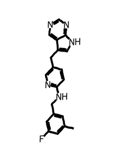 Cc1cc(F)cc(CNc2ccc(Cc3c[nH]c4ncncc34)cn2)c1